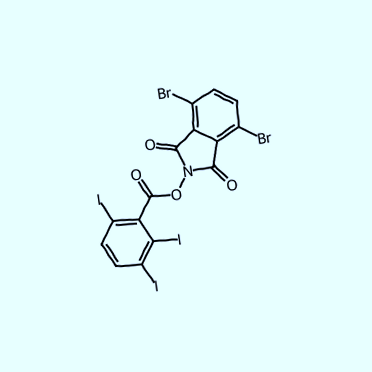 O=C(ON1C(=O)c2c(Br)ccc(Br)c2C1=O)c1c(I)ccc(I)c1I